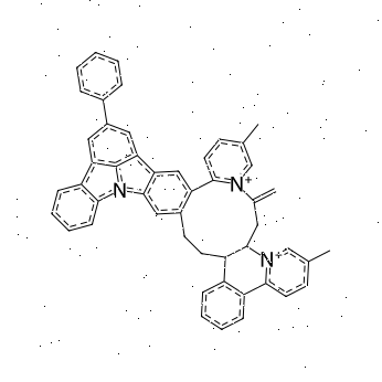 C=C1CC2C(CCc3cc4c(cc3-c3ccc(C)c[n+]31)c1cc(-c3ccccc3)cc3c5ccccc5n4c31)c1ccccc1-c1ccc(C)c[n+]12